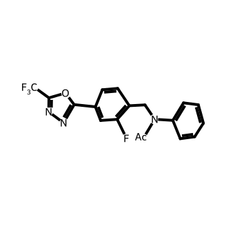 CC(=O)N(Cc1ccc(-c2nnc(C(F)(F)F)o2)cc1F)c1ccccc1